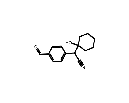 N#CC(c1ccc(C=O)cc1)C1(O)CCCCC1